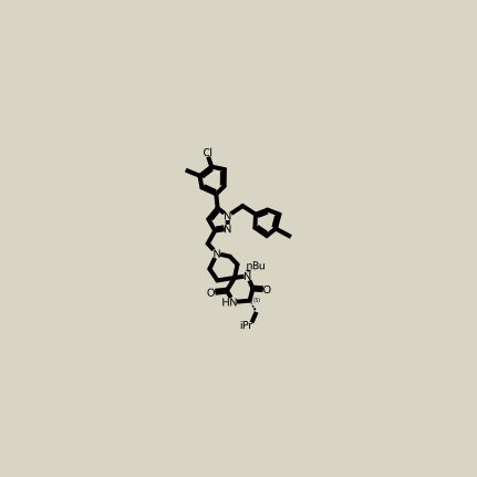 CCCCN1C(=O)[C@H](CC(C)C)NC(=O)C12CCN(Cc1cc(-c3ccc(Cl)c(C)c3)n(Cc3ccc(C)cc3)n1)CC2